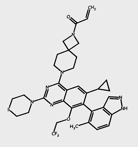 C=CC(=O)N1CC2(CCN(c3nc(N4CCSCC4)nc4c(OCC(F)(F)F)c(-c5c(C)ccc6[nH]ncc56)c(C5CC5)cc34)CC2)C1